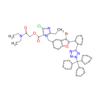 CCc1nc(Cl)c(C(=O)OCC(=O)N(CC)CC)n1Cc1ccc2oc(-c3ccccc3-c3nnn(C(c4ccccc4)(c4ccccc4)c4ccccc4)n3)c(Br)c2c1